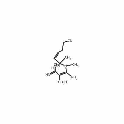 CC(=N)/C(C(=O)O)=C(/N)N(C)C(C)(C)/C=C\CCC#N